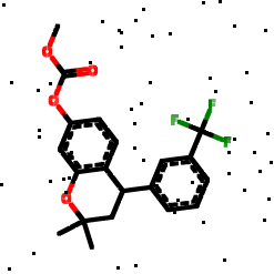 COC(=O)Oc1ccc2c(c1)OC(C)(C)CC2c1cccc(C(F)(F)F)c1